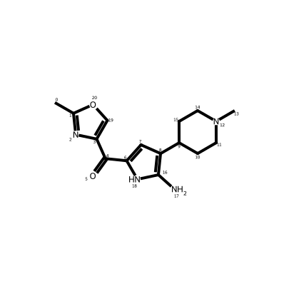 Cc1nc(C(=O)c2cc(C3CCN(C)CC3)c(N)[nH]2)co1